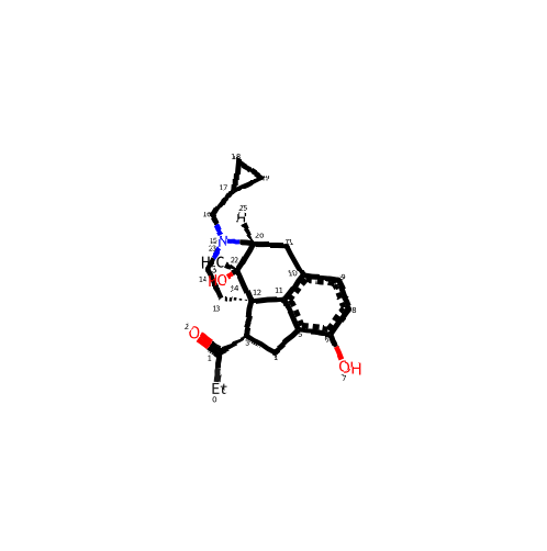 CCC(=O)[C@@H]1Cc2c(O)ccc3c2[C@@]12CCN(CC1CC1)[C@H](C3)[C@@]2(C)O